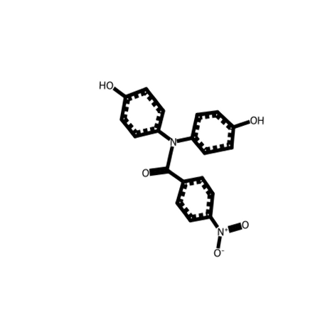 O=C(c1ccc([N+](=O)[O-])cc1)N(c1ccc(O)cc1)c1ccc(O)cc1